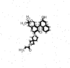 C=CC(=O)N1CC2(CCN(c3nc4c(c(-c5cc(O)cc6ccccc56)c3Cl)COC(C)(C)C4)C2)C1